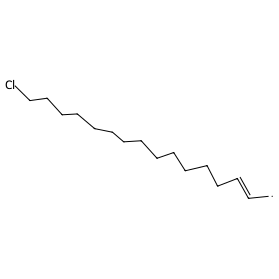 [CH2]C=CCCCCCCCCCCCCCCl